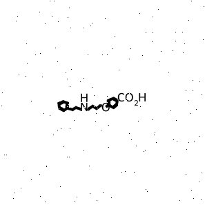 O=C(O)c1ccc(OCCCCNCCCc2ccccc2)cc1